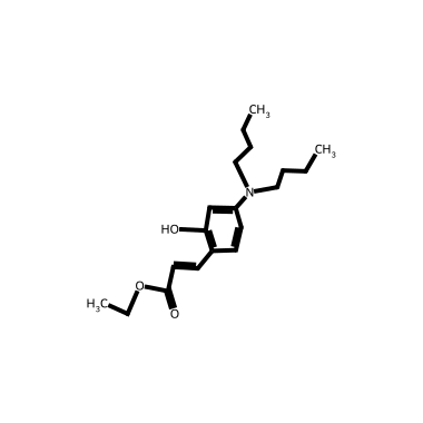 CCCCN(CCCC)c1ccc(/C=C/C(=O)OCC)c(O)c1